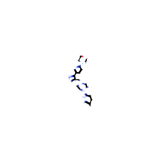 C[C@@H]1CN(Cc2c[nH]nc2-c2ccc([N+]3CCOCC3)nc2)CCN1c1ccc(C(F)(F)F)cn1